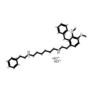 COc1ccc(CCNCCCCCCNCCc2ccccc2)c(Cc2ccccc2)c1OC.Cl.Cl